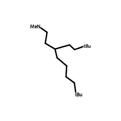 CNCCC(CCCCC(C)(C)C)CCC(C)(C)C